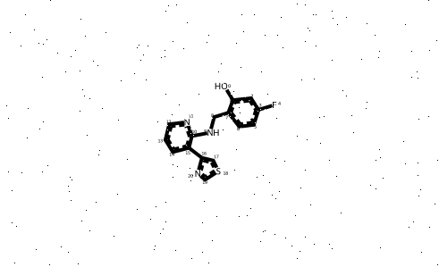 Oc1cc(F)ccc1CNc1ncccc1-c1cscn1